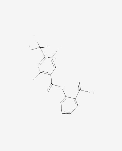 CC(=O)c1ccccc1NC(=O)c1cc(Br)c(C(C)(C)C)nc1Cl